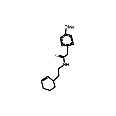 COc1ccc(CC(=O)NCCC2C=CCCC2)cc1